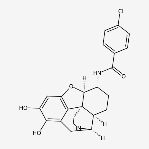 O=C(N[C@@H]1CC[C@H]2[C@H]3Cc4c(O)c(O)cc5c4[C@@]2(CCN3)[C@H]1O5)c1ccc(Cl)cc1